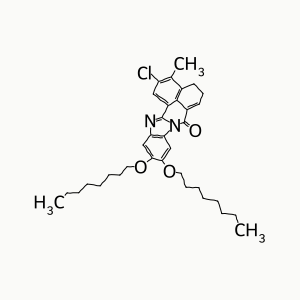 CCCCCCCCOc1cc2nc3c4cc(Cl)c(C)c5c4c(c(=O)n3c2cc1OCCCCCCCC)=CCC5